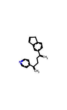 C=C(CCC(=C)c1ccc2c(c1)C=CC2)c1ccncc1